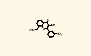 O=CCc1cccc2c(=O)c([N+](=O)[O-])c(-c3cccc([N+](=O)[O-])c3)oc12